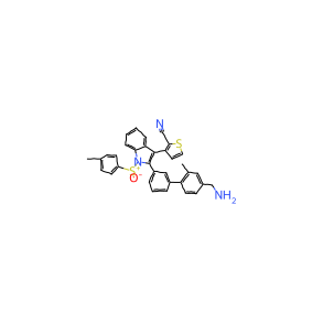 Cc1ccc([S+]([O-])n2c(-c3cccc(-c4ccc(CN)cc4C)c3)c(-c3ccsc3C#N)c3ccccc32)cc1